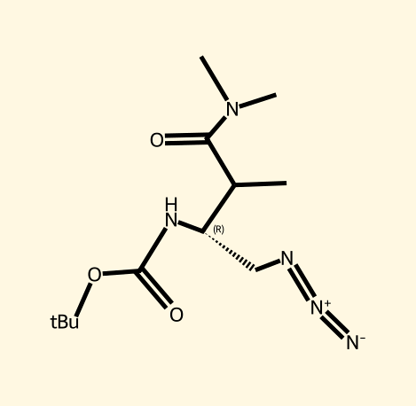 CC(C(=O)N(C)C)[C@H](CN=[N+]=[N-])NC(=O)OC(C)(C)C